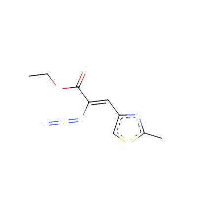 CCOC(=O)/C(=C/c1csc(C)n1)N=[N+]=[N-]